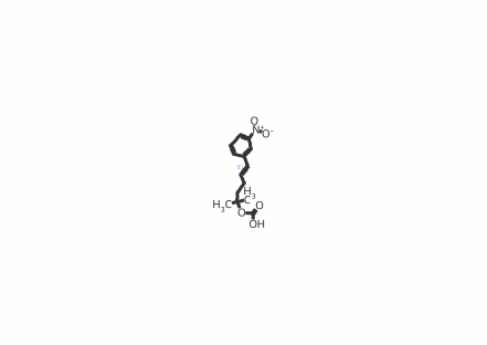 CC(C)(CC/C=C/c1cccc([N+](=O)[O-])c1)OC(=O)O